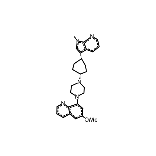 COc1cc(N2CCN([C@H]3CC[C@@H](c4cn(C)c5ncccc54)CC3)CC2)c2ncccc2c1